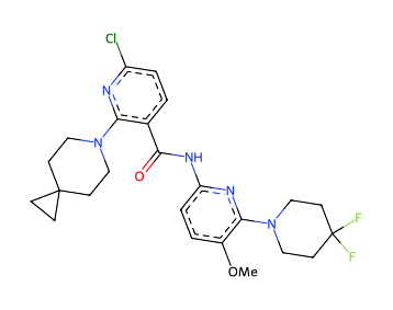 COc1ccc(NC(=O)c2ccc(Cl)nc2N2CCC3(CC2)CC3)nc1N1CCC(F)(F)CC1